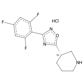 Cl.Fc1cc(F)c(-c2noc([C@H]3CCCNC3)n2)c(F)c1